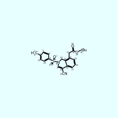 Cc1ccc(S(=O)(=O)N2C=C(C#N)c3cccc(CC(=O)OC(C)(C)C)c3C2)cc1